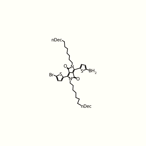 Bc1ccc(C2=C3C(=O)N(CCCCCCCCCCCCCCCCC)C(c4ccc(Br)s4)=C3C(=O)N2CCCCCCCCCCCCCCCCC)s1